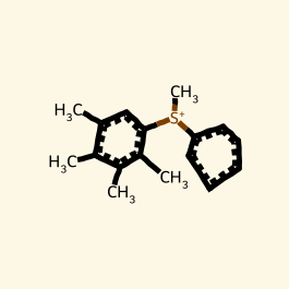 Cc1cc([S+](C)c2ccccc2)c(C)c(C)c1C